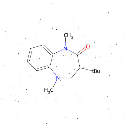 CN1CC(C(C)(C)C)C(=O)N(C)c2ccccc21